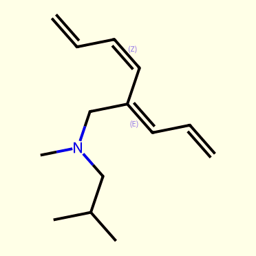 C=C/C=C\C(=C/C=C)CN(C)CC(C)C